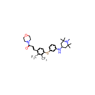 CN1C(C)(C)CC(Nc2cccc(Sc3ccc(C=CC(=O)N4CCOCC4)c(C(F)(F)F)c3C(F)(F)F)c2)CC1(C)C